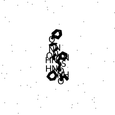 C=CC(=O)N[C@H]1CCCC[C@H]1NC(=O)c1sc2nccc3c2c1NC(=O)N3c1ncc(Oc2ccccc2)cn1